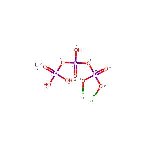 O=P(O)(O)OP(=O)(O)OP(=O)(OF)OF.[Li]